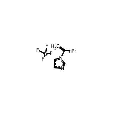 C=C(CCC)n1ccnc1.F[B-](F)(F)F